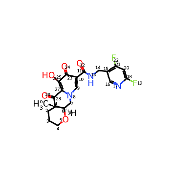 C[C@]12CCCO[C@@H]1Cn1cc(C(=O)NCc3cnc(F)cc3F)c(=O)c(O)c1C2=O